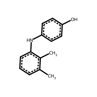 Cc1cccc(Nc2ccc(O)cc2)c1C